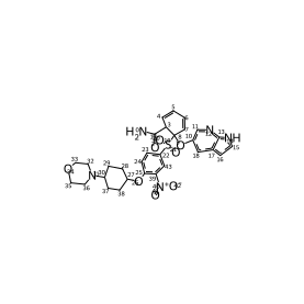 NC(=O)C1C=CC=CC1(Oc1cnc2[nH]ccc2c1)S(=O)(=O)c1ccc(OC2CCC(N3CCOCC3)CC2)c([N+](=O)[O-])c1